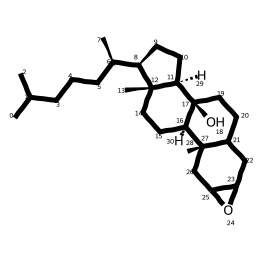 CC(C)CCC[C@@H](C)[C@H]1CC[C@@H]2[C@]1(C)CC[C@H]1[C@@]2(O)CCC2CC3OC3C[C@@]21C